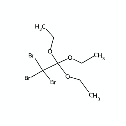 CCOC(OCC)(OCC)C(Br)(Br)Br